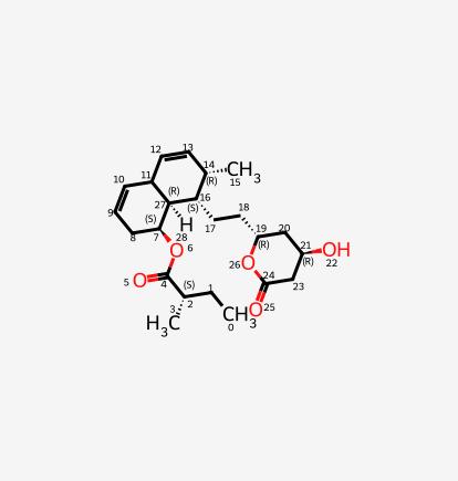 CC[C@H](C)C(=O)O[C@H]1CC=CC2C=C[C@H](C)[C@H](CC[C@@H]3C[C@@H](O)CC(=O)O3)[C@H]21